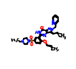 CCCOc1ccc(S(=O)(=O)N2CCN(CC)CC2)cc1-c1nc2c(CCC)n(Cc3ccccn3)nc2c(=O)[nH]1